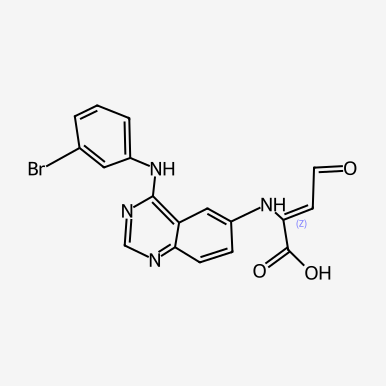 O=C/C=C(\Nc1ccc2ncnc(Nc3cccc(Br)c3)c2c1)C(=O)O